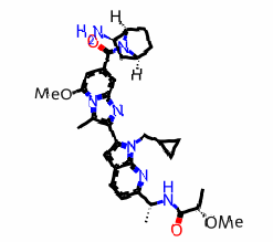 COc1cc(C(=O)N2[C@H]3CC[C@@H]2[C@H](N)C3)cc2nc(-c3cc4ccc([C@@H](C)NC(=O)[C@H](C)OC)nc4n3CC3CC3)c(C)n12